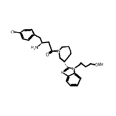 COCCCn1c([C@H]2CCCN(C(=O)C[C@@H](N)Cc3ccc(Cl)cc3)C2)nc2ccccc21